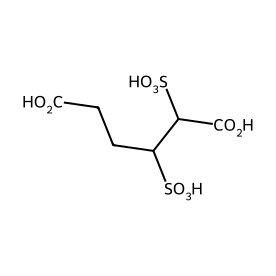 O=C(O)CCC(C(C(=O)O)S(=O)(=O)O)S(=O)(=O)O